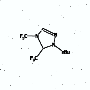 CCCCN1N=CN(C(F)(F)F)C1C(F)(F)F